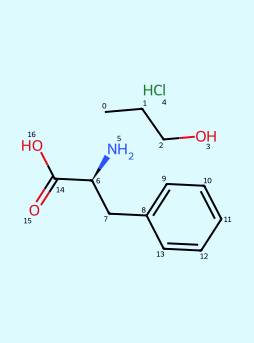 CCCO.Cl.N[C@@H](Cc1ccccc1)C(=O)O